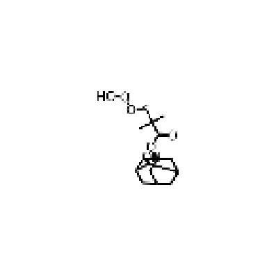 CC(C)(SOOO)C(=O)OC12CC3CC(C1)C(O)C(C3)C2